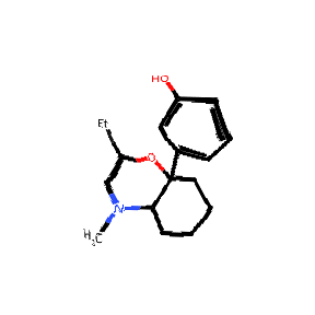 CCC1CN(C)C2CCCCC2(c2cccc(O)c2)O1